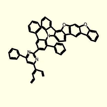 C=C/C=C(\C=C)c1cc(-c2ccccc2)nc(-c2cc(-c3ccccc3)c(-n3c4ccccc4c4c5oc6cc7oc8ccccc8c7cc6c5ccc43)c(-c3ccccc3)c2)n1